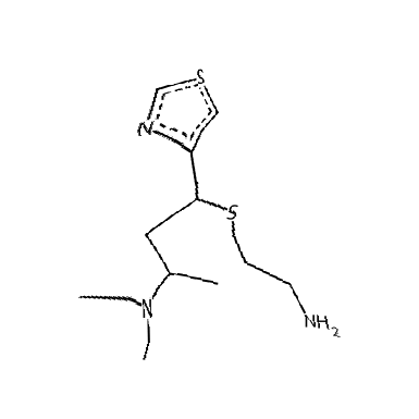 CC(CC(SCCN)c1cscn1)N(C)C